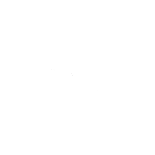 CCc1ccc2c(c1)N(C(C)=O)CC21CC1